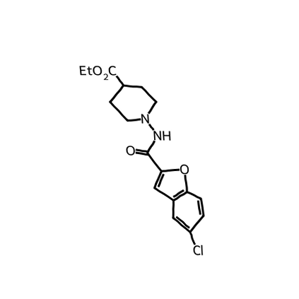 CCOC(=O)C1CCN(NC(=O)c2cc3cc(Cl)ccc3o2)CC1